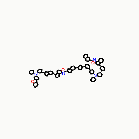 c1ccc(N(c2ccc(-c3cccc(-c4ccc(-c5ccc6cc(-c7nc8c(ccc9c(-c%10ccc%11cc(-c%12cccc(N(c%13ccccc%13)c%13ccc%14c(c%13)oc%13ccccc%13%14)c%12)ccc%11c%10)cccc98)o7)ccc6c5)cc4)c3)cc2)c2cccc(-c3cccc(-c4cc5oc(-c6ccc7ccccc7c6)nc5c5ccccc45)c3)c2)cc1